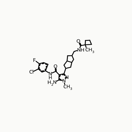 Cn1nc(C2CC3CC(CNC(=O)C4(C)CCC4)CC3C2)c(C(=O)Nc2ccc(F)c(Cl)c2)c1N